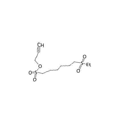 C#CCOS(=O)(=O)CCCCCCS(=O)(=O)CC